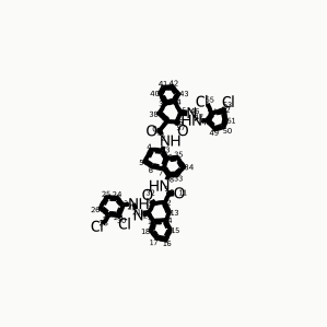 O=C(Nc1cccc2c(NC(=O)C3=Cc4ccccc4C(=NNc4cccc(Cl)c4Cl)C3=O)cccc12)C1=Cc2ccccc2C(=NNc2cccc(Cl)c2Cl)C1=O